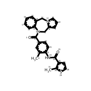 Cc1cc(C(=O)N2Cc3cccn3Cc3ccccc32)ccc1NC(=O)c1ccsc1C